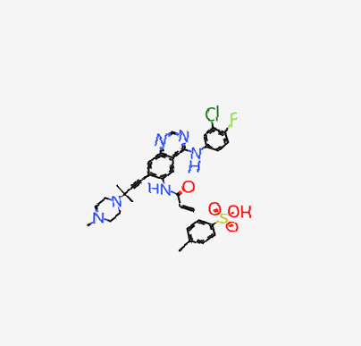 C=CC(=O)Nc1cc2c(Nc3ccc(F)c(Cl)c3)ncnc2cc1C#CC(C)(C)N1CCN(C)CC1.Cc1ccc(S(=O)(=O)O)cc1